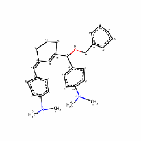 CN(C)c1ccc(C=C2C=C(C(OCc3ccccc3)c3ccc(N(C)C)cc3)CCC2)cc1